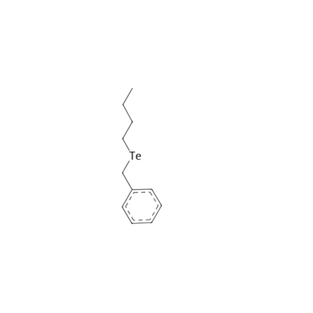 CCCC[Te]Cc1ccccc1